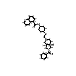 O=C(N[C@H]1CC[C@H](CCN2CC[C@H]3CN(C(=O)c4ccccc4)C[C@@H]3C2)CC1)c1cccc2ncccc12